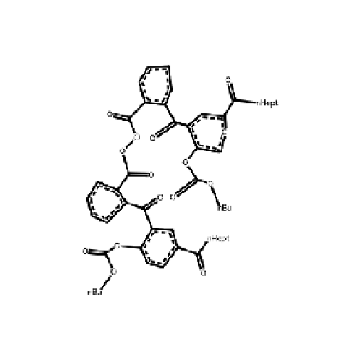 CCCCCCCC(=O)c1ccc(OC(=O)OCCCC)c(C(=O)c2ccccc2C(=O)OOC(=O)c2ccccc2C(=O)c2cc(C(=O)CCCCCCC)ccc2OC(=O)OCCCC)c1